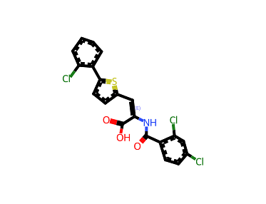 O=C(O)/C(=C\c1ccc(-c2ccccc2Cl)s1)NC(=O)c1ccc(Cl)cc1Cl